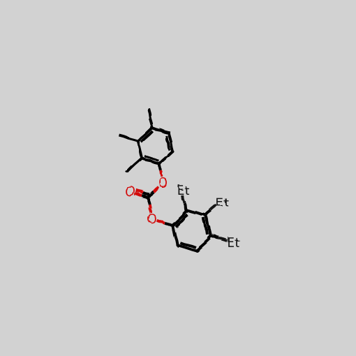 CCc1ccc(OC(=O)Oc2ccc(C)c(C)c2C)c(CC)c1CC